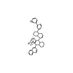 C/C=C\C1=C(C)C(c2ccc3ccccc3c2)C2CCCCC2C1C1C=CCC2C(c3cccc(-c4cccnc4)c3)CCCC12